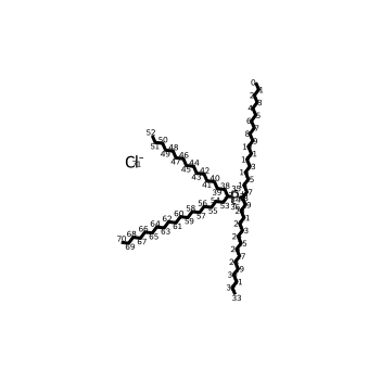 CCCCCCCCCCCCCCCCCCC(CCCCCCCCCCCCCCC)[P+](C)(C)C(CCCCCCCCCCCCCCC)CCCCCCCCCCCCCCCCCC.[Cl-]